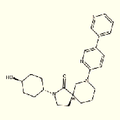 O=C1N([C@H]2CC[C@H](O)CC2)CC[C@@]12CCCN(c1ccc(-c3cccnc3)cn1)C2